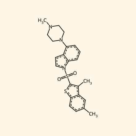 Cc1ccc2sc(S(=O)(=O)n3ccc4c(N5CCN(C)CC5)cccc43)c(C)c2c1